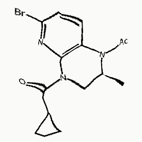 CC(=O)N1c2ccc(Br)nc2N(C(=O)C2CC2)C[C@@H]1C